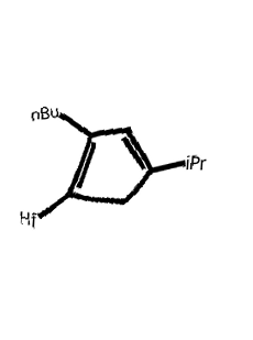 CCCCC1=[C]([Hf])CC(C(C)C)=C1